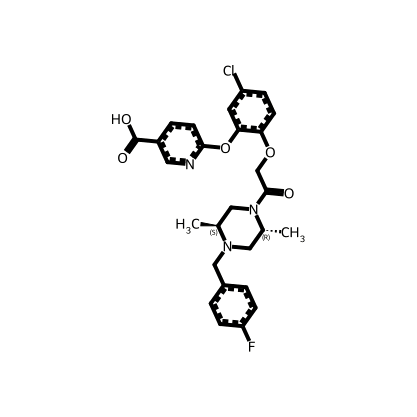 C[C@@H]1CN(Cc2ccc(F)cc2)[C@@H](C)CN1C(=O)COc1ccc(Cl)cc1Oc1ccc(C(=O)O)cn1